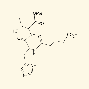 COC(=O)C(NC(=O)C(Cc1cnc[nH]1)NC(=O)CCCC(=O)O)C(C)O